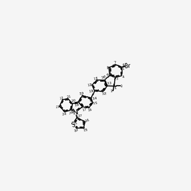 CC1(C)c2cc(Br)ccc2-c2ccc(-c3ccc4c(c3)c3ccccc3n4-c3cccs3)cc21